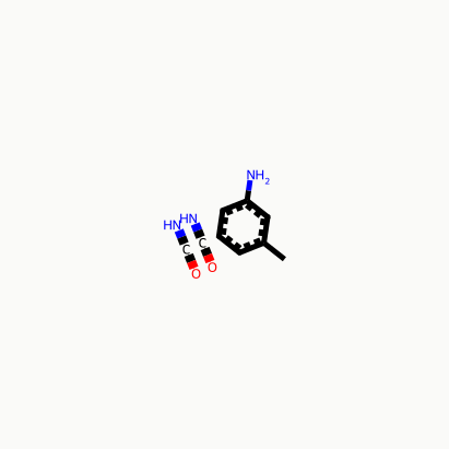 Cc1cccc(N)c1.N=C=O.N=C=O